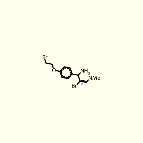 CN/C=C(/Br)C(N)c1ccc(OCCBr)cc1